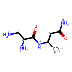 NC[C@H](N)C(=O)N[C@@H](CC(N)=O)C(=O)O